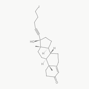 C[C@]12CCC(=O)C=C1CC[C@@H]1[C@@H]2CC[C@@]2(C)[C@H]1CC[C@@]2(O)C#CCCCI